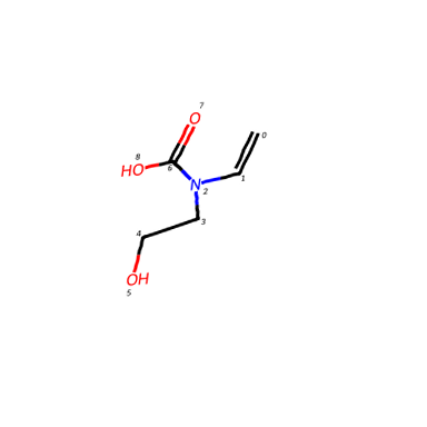 C=CN(CCO)C(=O)O